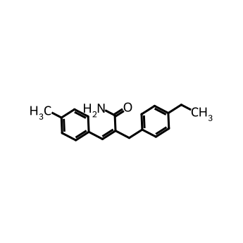 CCc1ccc(C/C(=C/c2ccc(C)cc2)C(N)=O)cc1